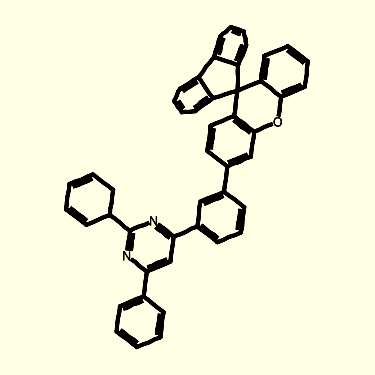 C1=CCC(c2nc(-c3ccccc3)cc(-c3cccc(-c4ccc5c(c4)Oc4ccccc4C54c5ccccc5-c5ccccc54)c3)n2)C=C1